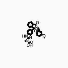 COc1cccc(CN2C(=O)c3ccccc3C2(O)c2ccc3[nH]c(N(C)C(=O)O)nc3c2)c1